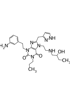 CCCn1c(=O)c2c(nc(Cc3cc[nH]n3)n2CCNCC(O)CC)n(CCc2cccc(N)c2)c1=O